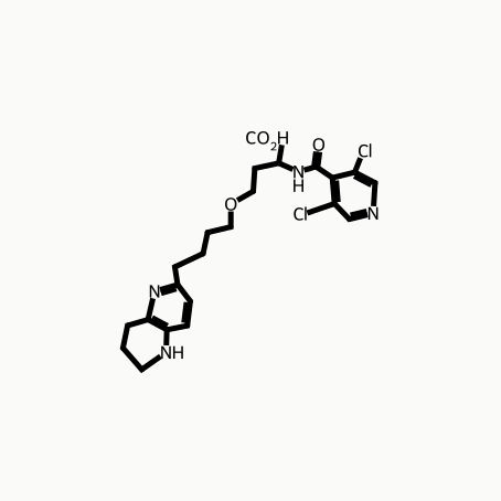 O=C(NC(CCOCCCCc1ccc2c(n1)CCCN2)C(=O)O)c1c(Cl)cncc1Cl